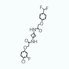 O=C(COc1ccc(C(F)F)cc1)NC12CC(NC(=O)COc3ccc(Cl)c(F)c3)(C1)C2